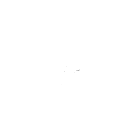 [C-]#[N+][C@H]1C(=O)N(C(C(=O)OC)=C(C)C)[C@@H]1CC=C